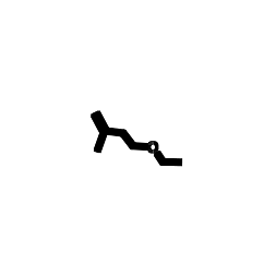 C=C(C)CCOCC